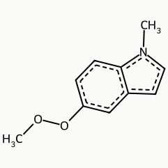 COOc1ccc2c(ccn2C)c1